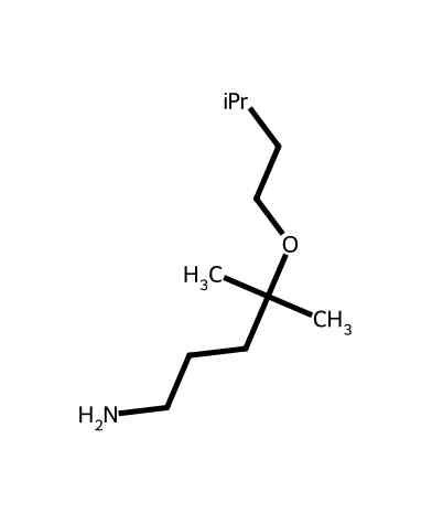 CC(C)CCOC(C)(C)CCCN